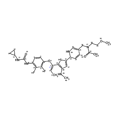 C/C=C(/Oc1ccc(NC(=O)NC2CC2)c(F)c1F)c1sc(C2C=CC(CN(CCOC)C(C)=O)=CN2)cc1NC